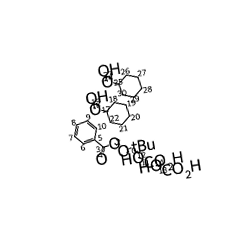 CC(C)(C)OOC(=O)c1ccccc1.O=C(O)O.O=C(O)O.OOC1CCCCC1.OOC1CCCCC1